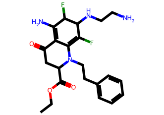 CCOC(=O)C1CC(=O)C2=C(N)C(F)C(NCCN)C(F)=C2N1CCc1ccccc1